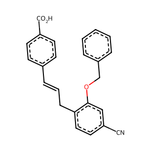 N#Cc1ccc(CC=Cc2ccc(C(=O)O)cc2)c(OCc2ccccc2)c1